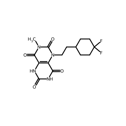 Cn1c(=O)c2[nH]c(=O)[nH]c(=O)c2n(CCC2CCC(F)(F)CC2)c1=O